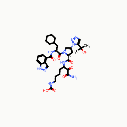 CC(C)(O)c1cnnn1[C@H]1C[C@@H](C(=O)NC(CCCCNC(=O)O)C(=O)C(N)=O)N(C(=O)C(CC2CCCCC2)NC(=O)c2cccc3[nH]ncc23)C1